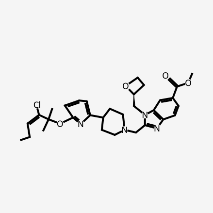 CC/C=C(/Cl)C(C)(C)Oc1cccc(C2CCN(Cc3nc4ccc(C(=O)OC)cc4n3C[C@@H]3CCO3)CC2)n1